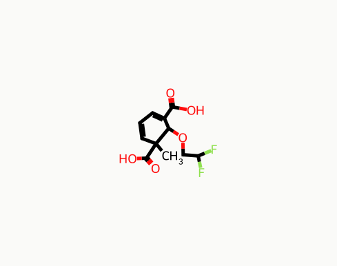 CC1(C(=O)O)C=CC=C(C(=O)O)C1OCC(F)F